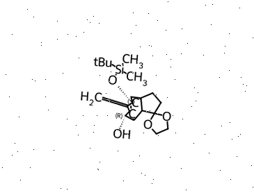 C=C1C[C@@H](O)C2CCCC3(CCC4(OCCO4)C23)C[C@@H]1O[Si](C)(C)C(C)(C)C